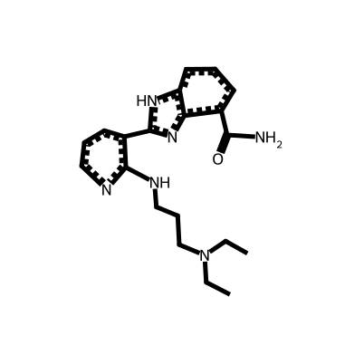 CCN(CC)CCCNc1ncccc1-c1nc2c(C(N)=O)cccc2[nH]1